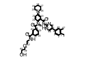 Cc1ccc(-c2cnc(NC(=O)c3cc(N4CCCCC4)ccc3N(C)C(=O)c3cccc(C(=O)NCCOCCO)c3)nc2)cc1C